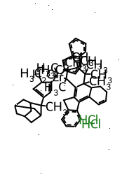 Cl.Cl.[CH2]=[Zr]([CH3])([C]1=CC(C2(C)C3CC4CC(C3)CC2C4)=CC1C)([c]1ccc2ccccc2c1)[C]1(C)C2=C3Cc4ccccc4C3=C3C=CCCC3C2(C)C(C)(C)C(C)(C)C1(C)C